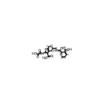 O=C(O)C(=O)Nc1sc2c(c1C(=O)O)CC(CNC(=O)c1ncccc1C(=O)O)OC2